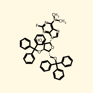 CN(C)c1nc(F)nc2c1ncn2[C@@H]1O[C@H](COC(c2ccccc2)(c2ccccc2)c2ccccc2)[C@@H](OC(c2ccccc2)(c2ccccc2)c2ccccc2)[C@H]1O